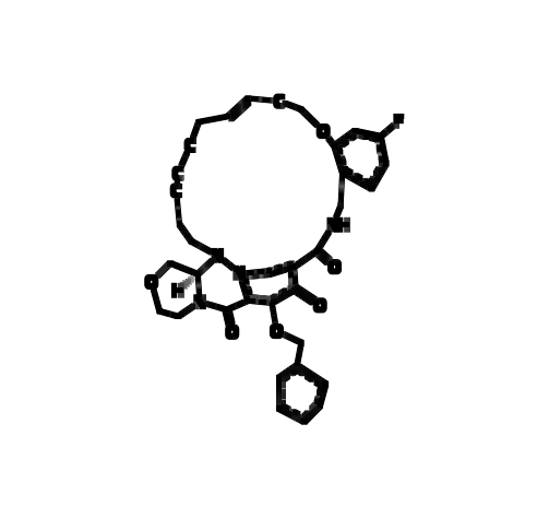 O=C1NCc2ccc(F)cc2OCC/C=C/CCCCCCN2[C@@H]3COCCN3C(=O)c3c(OCc4ccccc4)c(=O)c1cn32